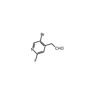 O=CCc1cc(F)ncc1Br